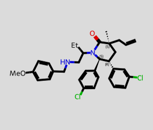 C=CC[C@@]1(C)C[C@H](c2cccc(Cl)c2)[C@@H](c2ccc(Cl)cc2)N(C(CC)CNCc2ccc(OC)cc2)C1=O